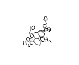 CC(C)C1=CC23CCC4C(C)(C(=O)OCC5CO5)CCCC4(C)C2CC1C(C(=O)OCC1CO1)C3